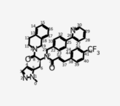 Cn1nccc1C[C@@H](C(=O)N1CCc2ccccc2C1)N(Cc1ccc(-c2ccccn2)cc1)C(=O)C=Cc1ccc(C(F)(F)F)cc1